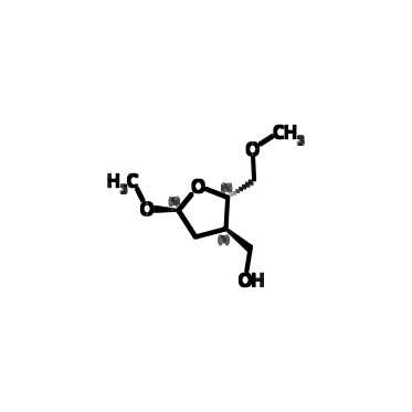 COC[C@H]1O[C@H](OC)C[C@@H]1CO